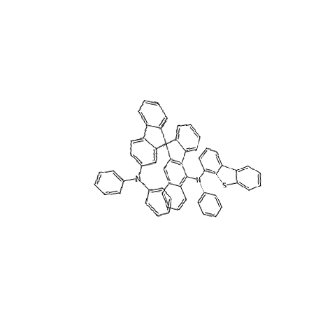 c1ccc(N(c2ccccc2)c2ccc3c(c2)C2(c4ccccc4-3)c3ccccc3-c3c2cc2ccccc2c3N(c2ccccc2)c2cccc3c2sc2ccccc23)cc1